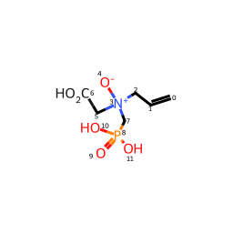 C=CC[N+]([O-])(CC(=O)O)CP(=O)(O)O